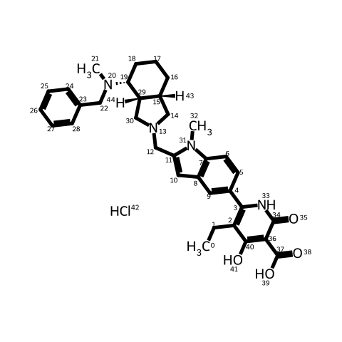 CCc1c(-c2ccc3c(c2)cc(CN2C[C@H]4CCC[C@@H](N(C)Cc5ccccc5)[C@H]4C2)n3C)[nH]c(=O)c(C(=O)O)c1O.Cl